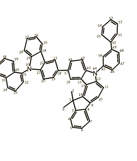 CC1(C)c2ccccc2-c2ccc3c(c21)c1cc(-c2ccc4c(c2)c2ccccc2n4-c2cccc4ccccc24)ccc1n3-c1cccc(-c2ccccc2)c1